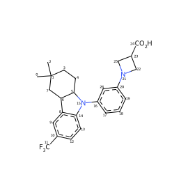 CC1(C)CCC2C(C1)c1cc(C(F)(F)F)ccc1N2c1cccc(N2CC(C(=O)O)C2)c1